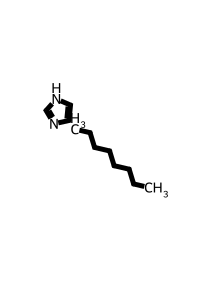 CCCCCCCC.c1c[nH]cn1